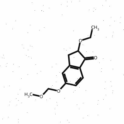 CCOC1Cc2cc(OCOC)ccc2C1=O